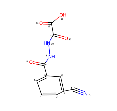 N#Cc1cccc(C(=O)NNC(=O)C(=O)O)c1